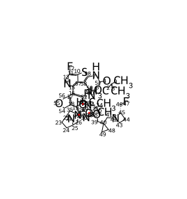 CC(C)(C)OC(=O)Nc1sc2c(F)cnc(-c3c4c(c5c(N6C7CCC6CN(C(=O)OC(C)(C)C)C7)nc(OCC6(CN7CC[C@H]7CF)CC6)nc5c3F)COC4)c2c1C#N